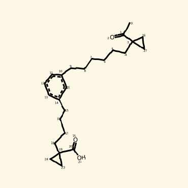 CC(=O)C1(CCCCCCc2cccc(CCCCC3(C(=O)O)CC3)c2)CC1